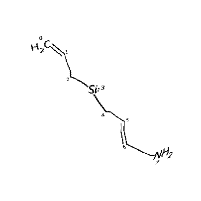 C=CC[Si]CC=CN